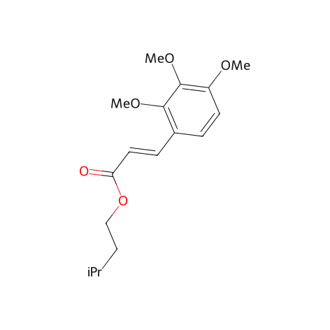 COc1ccc(C=CC(=O)OCCC(C)C)c(OC)c1OC